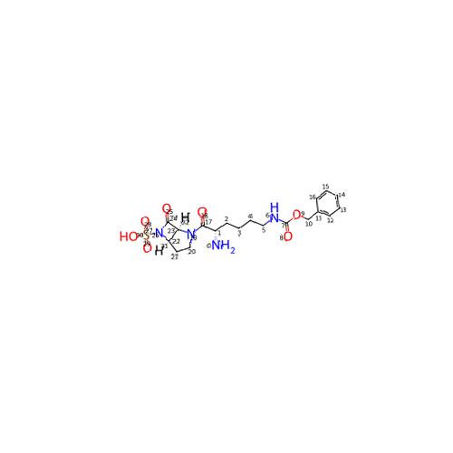 N[C@@H](CCCCNC(=O)OCc1ccccc1)C(=O)N1CC[C@@H]2[C@H]1C(=O)N2S(=O)(=O)O